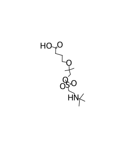 CC(C)(C)NCCS(=O)(=O)OCC(C)(C)OCCCC(=O)O